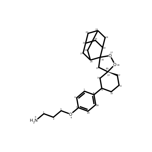 NCCCOc1ccc(C2CCC[C@@]3(C2)CC2(OO3)C3CC4CC(C3)CC2C4)cc1